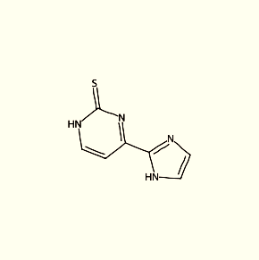 S=c1nc(-c2ncc[nH]2)cc[nH]1